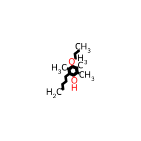 C=CCCCc1c(C)c(OCCCC)c(C)c(C)c1O